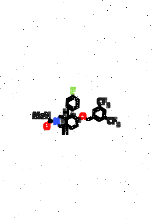 CNC(=O)N1C[C@@H]2CC[C@H](OCc3cc(C(F)(F)F)cc(C(F)(F)F)c3)[C@@H](c3ccc(F)cc3)[C@@H]2C1